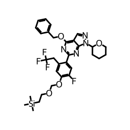 C[Si](C)(C)CCOCOc1cc(CC(F)(F)F)c(-c2nc(OCc3ccccc3)c3cnn(C4CCCCO4)c3n2)cc1F